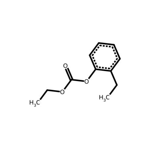 CCOC(=O)Oc1ccccc1CC